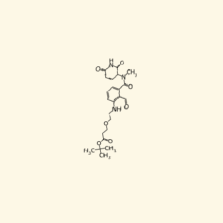 CN(C(=O)c1cccc(NCCOCCC(=O)OC(C)(C)C)c1C=O)C1CCC(=O)NC1=O